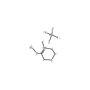 CCOC1=[N+](C)CCSC1.F[B-](F)(F)F